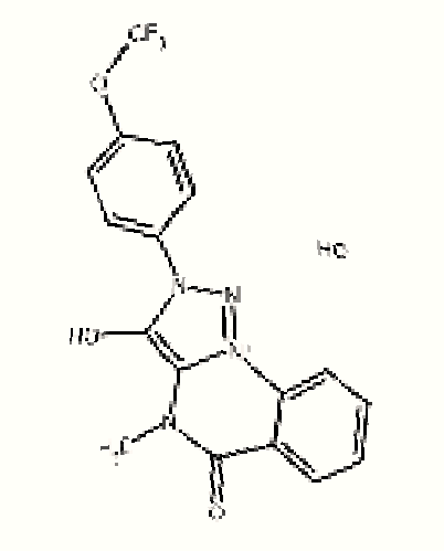 Cn1c(=O)c2ccccc2[n+]2nn(-c3ccc(OC(F)(F)F)cc3)c(O)c12.[OH-]